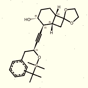 CC(C)(C)[Si](C)(C)O[C@H](C#C[C@@H]1[C@H]2CC3(OCCO3)[C@H]2CC[C@H]1O)Cc1ccccc1